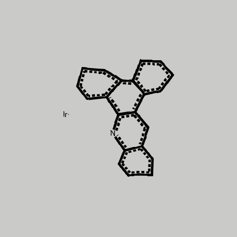 [Ir].c1ccc2nc3c4ccccc4c4ccccc4c3cc2c1